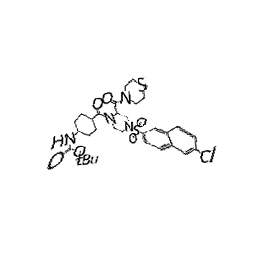 CC(C)(C)OC(=O)NC1CCC(C(=O)N2CCN(S(=O)(=O)c3ccc4cc(Cl)ccc4c3)CC2C(=O)N2CCSCC2)CC1